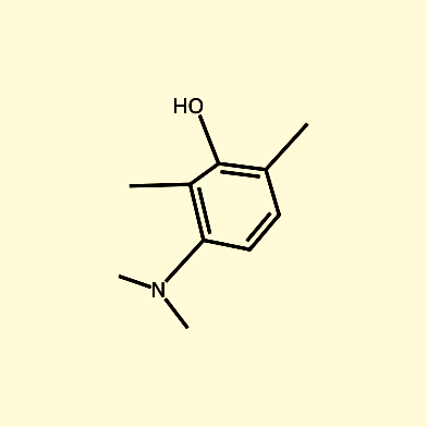 Cc1ccc(N(C)C)c(C)c1O